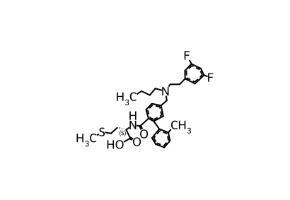 CCCCN(CCc1cc(F)cc(F)c1)Cc1ccc(C(=O)N[C@@H](CCSC)C(=O)O)c(-c2ccccc2C)c1